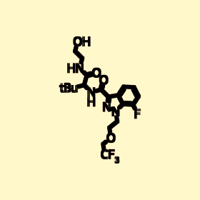 CC(C)(C)C(NC(=O)c1nn(CCOCC(F)(F)F)c2c(F)cccc12)C(=O)NCCO